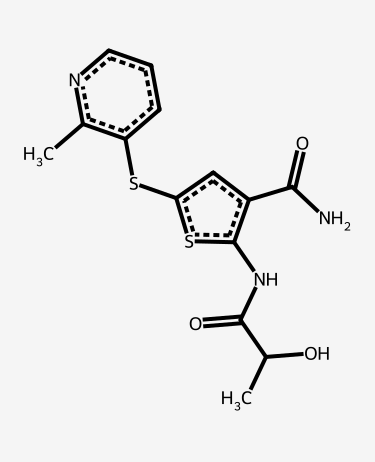 Cc1ncccc1Sc1cc(C(N)=O)c(NC(=O)C(C)O)s1